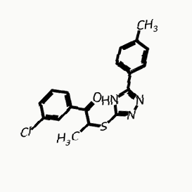 Cc1ccc(-c2nnc(SC(C)C(=O)c3cccc(Cl)c3)[nH]2)cc1